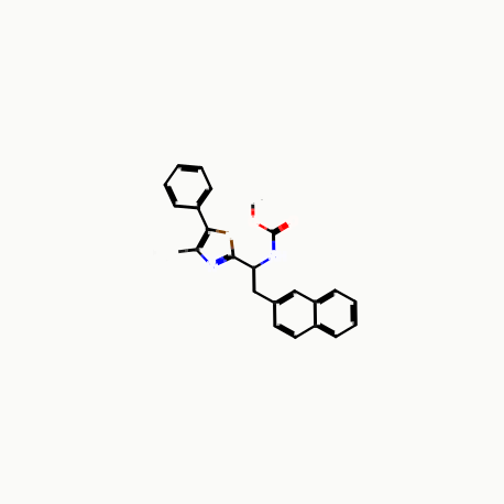 CC(C)(C)OC(=O)NC(Cc1ccc2ccccc2c1)c1nc(C(=O)O)c(-c2ccccc2)s1